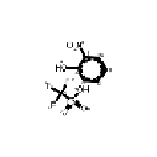 O=S(=O)(O)C(F)(F)F.O=[N+]([O-])c1ccccc1O